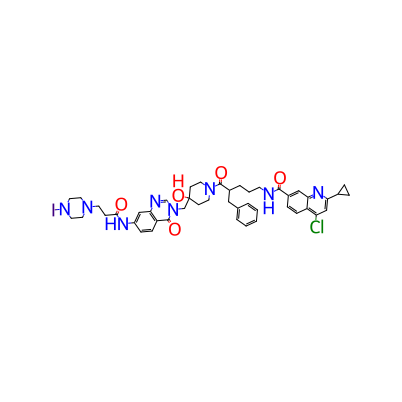 O=C(CCN1CCN(I)CC1)Nc1ccc2c(=O)n(CC3(O)CCN(C(=O)C(CCCNC(=O)c4ccc5c(Cl)cc(C6CC6)nc5c4)Cc4ccccc4)CC3)cnc2c1